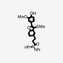 CCCN(CCC)C(=O)CCc1ccc2oc(-c3ccc(O)c(OC)c3)c(SC)c2c1